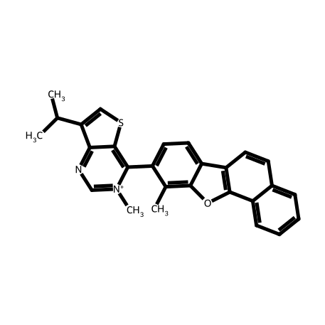 Cc1c(-c2c3scc(C(C)C)c3nc[n+]2C)ccc2c1oc1c3ccccc3ccc21